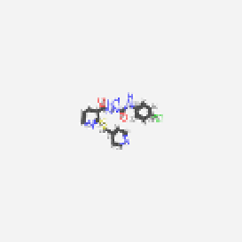 O=C(NNC(=O)c1cccnc1SCc1ccncc1)Nc1ccc(Cl)cc1